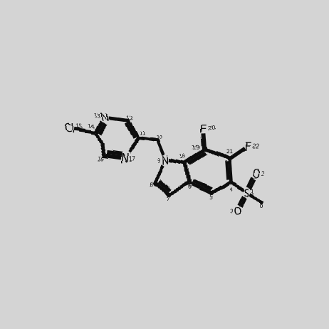 CS(=O)(=O)c1cc2ccn(Cc3cnc(Cl)cn3)c2c(F)c1F